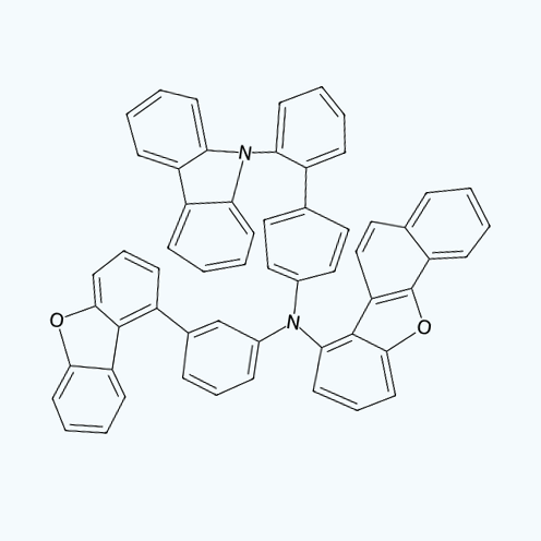 c1cc(-c2cccc3oc4ccccc4c23)cc(N(c2ccc(-c3ccccc3-n3c4ccccc4c4ccccc43)cc2)c2cccc3oc4c5ccccc5ccc4c23)c1